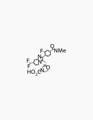 CNC(=O)c1ccc(-c2nc3cc(C(F)F)ccn3c2C[C@H]2CN(C(=O)O)CCO2)c(F)c1